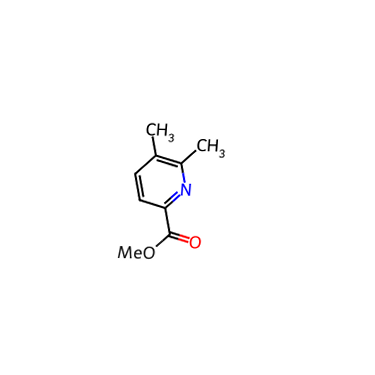 COC(=O)c1ccc(C)c(C)n1